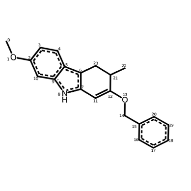 COc1ccc2c3c([nH]c2c1)C=C(OCc1ccccc1)C(C)C3